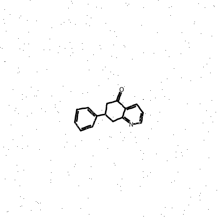 O=C1CC(c2ccccc2)Cc2ncccc21